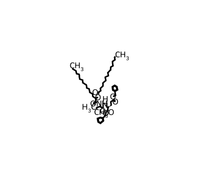 CCCCCCCCCCCCCCCC(=O)OC(CCCCCCCCCCCCCC)C(=O)N[C@H](C(=O)N[C@@H](CCC(=O)OCc1ccccc1)C(=O)OCc1ccccc1)C(C)C